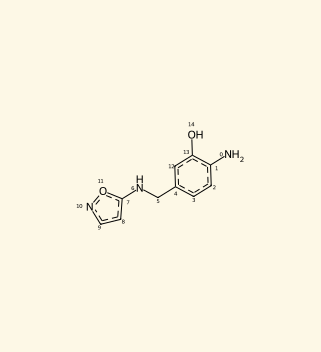 Nc1ccc(CNc2ccno2)cc1O